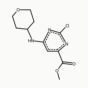 COC(=O)c1cc(NC2CCOCC2)nc(Cl)n1